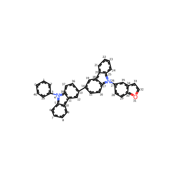 c1ccc(-n2c3ccccc3c3cc(-c4ccc5c(c4)c4ccccc4n5-c4ccc5occc5c4)ccc32)cc1